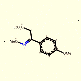 CCOC(=O)CC(=NOC)c1ccc(OC)cc1